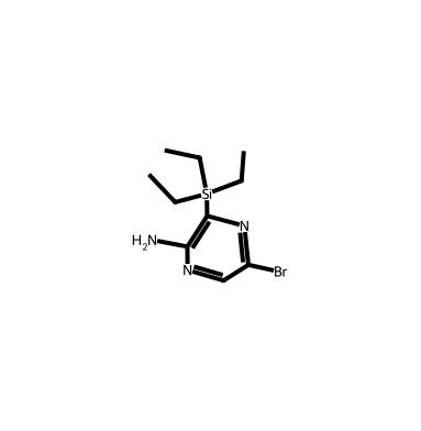 CC[Si](CC)(CC)c1nc(Br)cnc1N